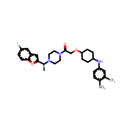 C[C@@H](c1cc2cc(F)ccc2o1)N1CCN(C(=O)COC2CCC(Nc3ccc([N+](=O)[O-])c(C(F)(F)F)c3)CC2)CC1